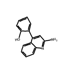 Nc1cc(-c2ccccc2O)c2ccccc2n1